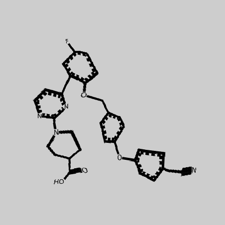 N#Cc1ccc(Oc2ccc(COc3ccc(F)cc3-c3ccnc(N4CCC(C(=O)O)CC4)n3)cc2)cc1